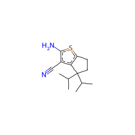 CC(C)C1(C(C)C)CCc2sc(N)c(C#N)c21